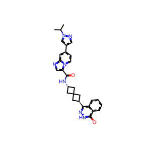 CC(C)n1cc(-c2ccn3c(C(=O)N[C@H]4CC5(C4)C[C@H](c4n[nH]c(=O)c6ccccc64)C5)cnc3c2)cn1